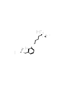 CCOC(=N)CCCCOc1cccc(CN(C)C)c1